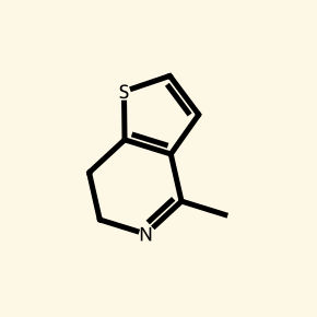 CC1=NCCc2sccc21